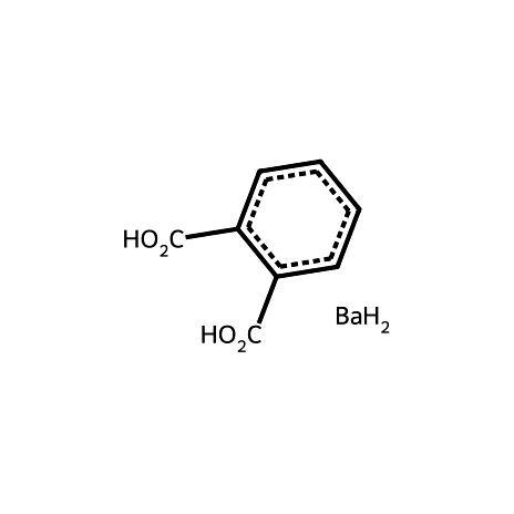 O=C(O)c1ccccc1C(=O)O.[BaH2]